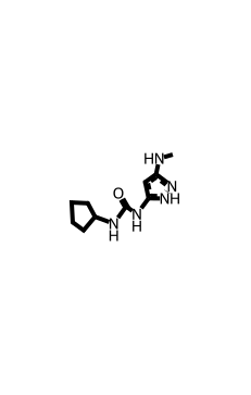 CNc1cc(NC(=O)NC2CCCC2)[nH]n1